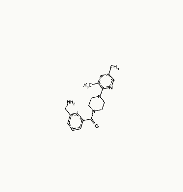 Cc1cnc(N2CCN(C(=O)c3[c]c(CN)ccc3)CC2)c(C)c1